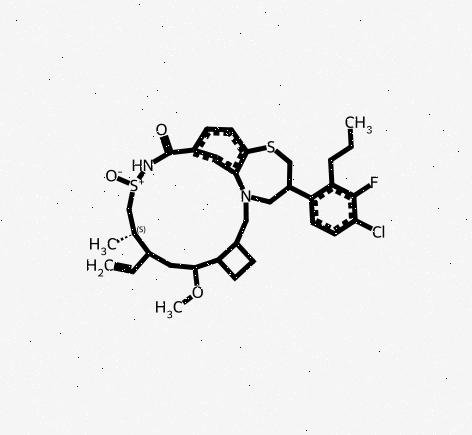 C=CC1CC(OC)C2CCC2CN2CC(c3ccc(Cl)c(F)c3CCC)CSc3ccc(cc32)C(=O)N[S+]([O-])C[C@H]1C